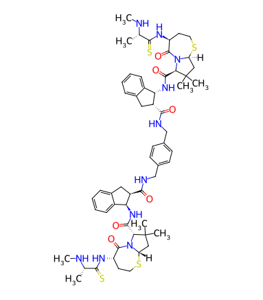 CN[C@@H](C)C(=S)N[C@H]1CCS[C@H]2CC(C)(C)[C@@H](C(=O)N[C@H]3c4ccccc4C[C@H]3C(=O)NCc3ccc(CNC(=O)[C@@H]4Cc5ccccc5[C@@H]4NC(=O)[C@H]4N5C(=O)[C@@H](NC(=S)[C@H](C)NC)CCS[C@H]5CC4(C)C)cc3)N2C1=O